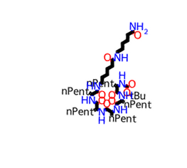 CCCCCC(NC(=O)OC(C)(C)C)C(=O)NC(CCCCC)C(=O)NC(CCCCC)C(=O)NC(CCCCC)C(=O)NC(CCCCC)C(=O)NCCCCCC(=O)NCCCCCC(N)=O